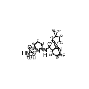 CC(C)(C)NS(=O)(=O)c1cccc(NC(=O)c2ccc(F)nc2N2CCC3(CC2)CC3)n1